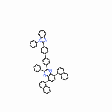 c1ccc(-c2nc3c(-c4cccc5ccccc45)ccc(-c4cccc5ccccc45)c3nc2-c2ccc(-c3ccc(-c4nc5ccccc5n4-c4ccccc4)cc3)cc2)cc1